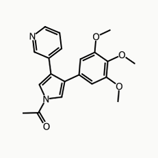 COc1cc(-c2cn(C(C)=O)cc2-c2cccnc2)cc(OC)c1OC